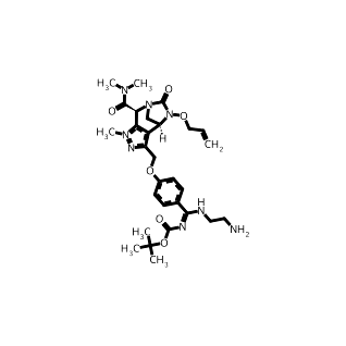 C=CCON1C(=O)N2C[C@@H]1c1c(COc3ccc(/C(=N\C(=O)OC(C)(C)C)NCCN)cc3)nn(C)c1[C@H]2C(=O)N(C)C